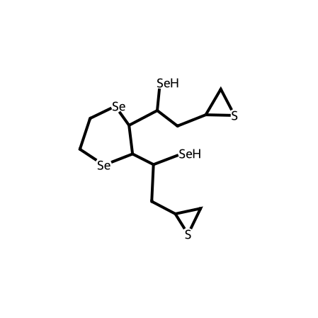 [SeH]C(CC1CS1)C1[Se]CC[Se]C1C([SeH])CC1CS1